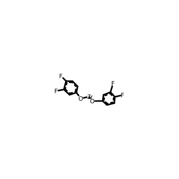 Fc1ccc([O][Zr][O]c2ccc(F)c(F)c2)cc1F